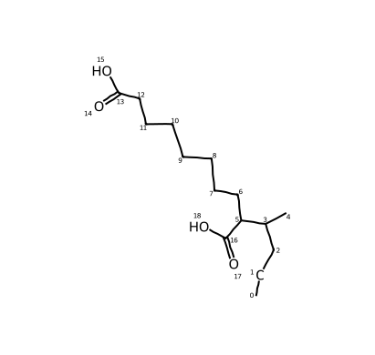 CCCC(C)C(CCCCCCCC(=O)O)C(=O)O